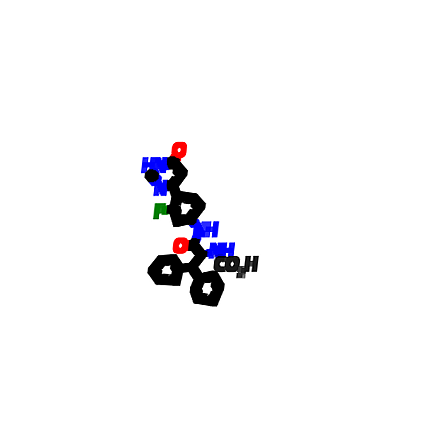 O=C(O)N[C@H](C(=O)Nc1ccc(-c2cc(=O)[nH]cn2)c(F)c1)C(c1ccccc1)c1ccccc1